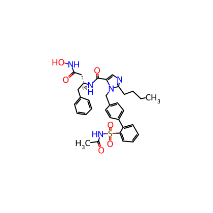 CCCCc1ncc(C(=O)N[C@@H](CC(=O)NO)Cc2ccccc2)n1Cc1ccc(-c2ccccc2S(=O)(=O)NC(C)=O)cc1